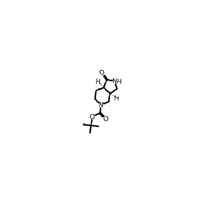 CC(C)(C)OC(=O)N1CC[C@H]2C(=O)NC[C@H]2C1